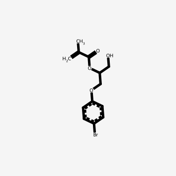 C=C(C)C(=O)OC(CO)COc1ccc(Br)cc1